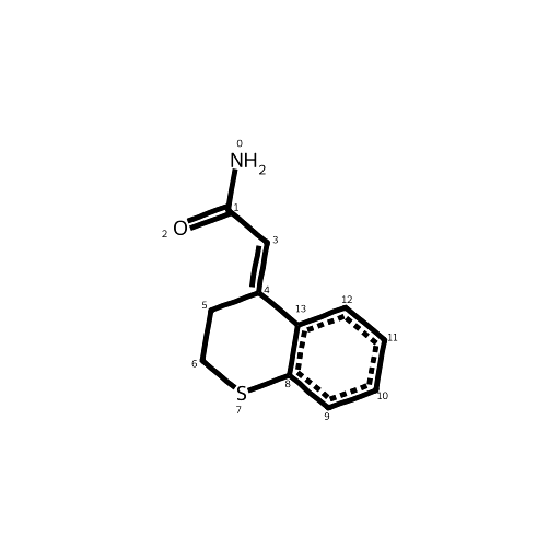 NC(=O)C=C1CCSc2ccccc21